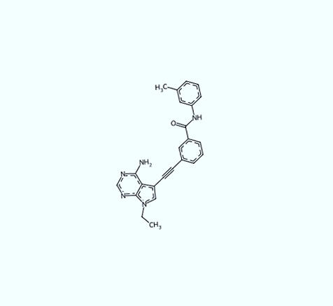 CCn1cc(C#Cc2cccc(C(=O)Nc3cccc(C)c3)c2)c2c(N)ncnc21